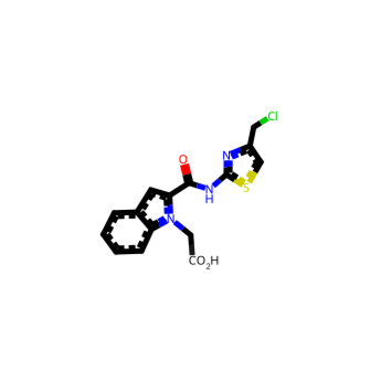 O=C(O)Cn1c(C(=O)Nc2nc(CCl)cs2)cc2ccccc21